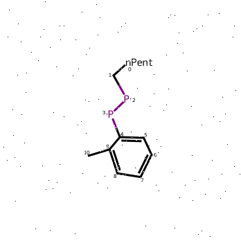 CCCCCC[P][P]c1ccccc1C